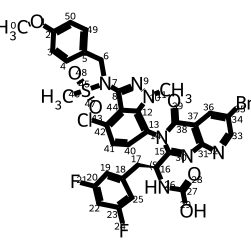 COc1ccc(CN(c2nn(C)c3c(-n4c([C@H](Cc5cc(F)cc(F)c5)NC(=O)O)nc5ncc(Br)cc5c4=O)ccc(Cl)c23)S(C)(=O)=O)cc1